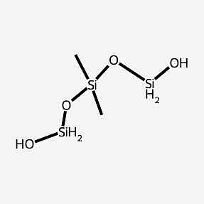 C[Si](C)(O[SiH2]O)O[SiH2]O